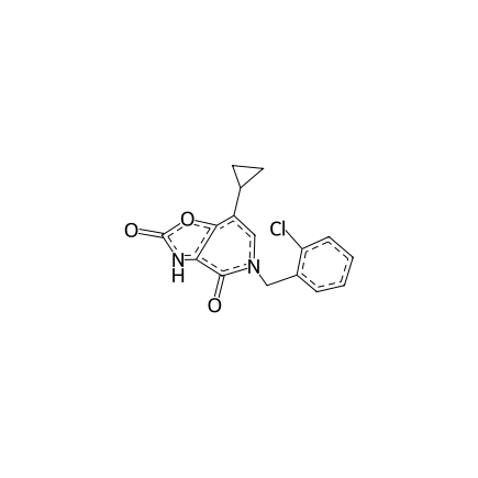 O=c1[nH]c2c(=O)n(Cc3ccccc3Cl)cc(C3CC3)c2o1